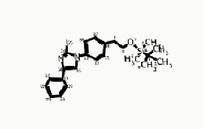 CC(C)(C)[Si](C)(C)OCCc1ccc(-n2cc(-c3ccccc3)nc2I)cc1